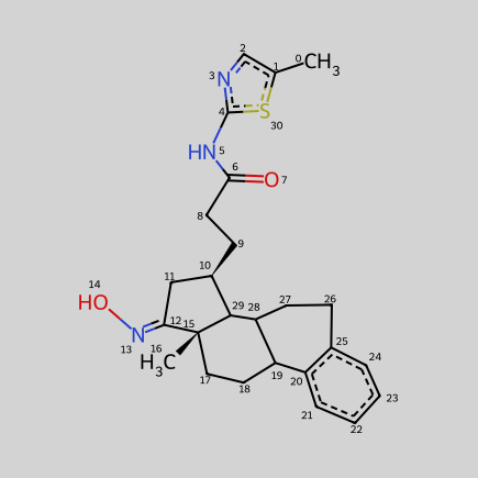 Cc1cnc(NC(=O)CC[C@@H]2CC(=NO)[C@@]3(C)CCC4c5ccccc5CCC4C23)s1